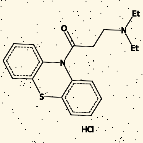 CCN(CC)CCC(=O)N1c2ccccc2Sc2ccccc21.Cl